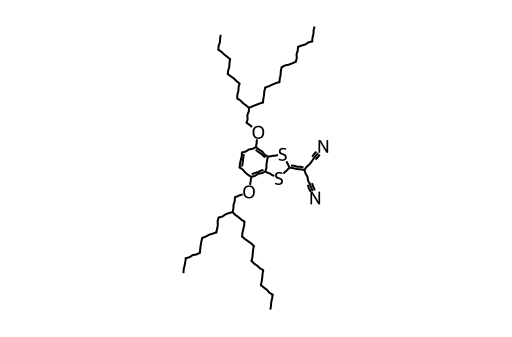 CCCCCCCCC(CCCCCC)COc1ccc(OCC(CCCCCC)CCCCCCCC)c2c1SC(=C(C#N)C#N)S2